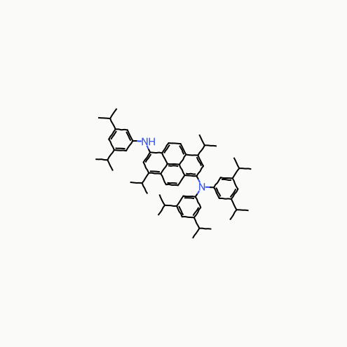 CC(C)c1cc(Nc2cc(C(C)C)c3ccc4c(N(c5cc(C(C)C)cc(C(C)C)c5)c5cc(C(C)C)cc(C(C)C)c5)cc(C(C)C)c5ccc2c3c54)cc(C(C)C)c1